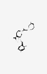 CCOC(=O)C1CCCN(CC(=O)N2CCc3c(C)nn(Cc4ccc(Cl)cc4F)c3C2)C1